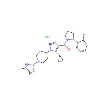 Cc1nnc(N2CCC(n3ncc(C(=O)N4CCCC4c4ccccc4C(F)(F)F)c3C3CC3)CC2)[nH]1.Cl